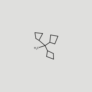 [CH2]C(C1CCC1)(C1CCC1)C1CCC1